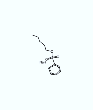 CCCCCOS(=O)(=O)c1ccccc1.[NaH]